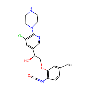 CC(C)(C)c1ccc(N=C=O)c(OC[C@@H](O)c2cnc(N3CCNCC3)c(Cl)c2)c1